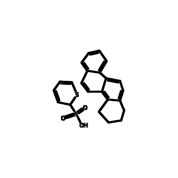 O=S(=O)(O)C1C=CC=CS1.c1ccc2c(c1)ccc1c3c(ccc12)CCCC3